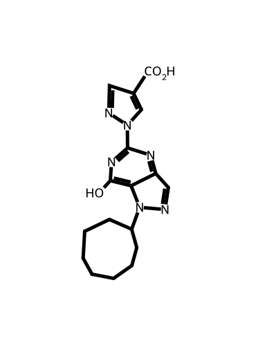 O=C(O)c1cnn(-c2nc(O)c3c(cnn3C3CCCCCCC3)n2)c1